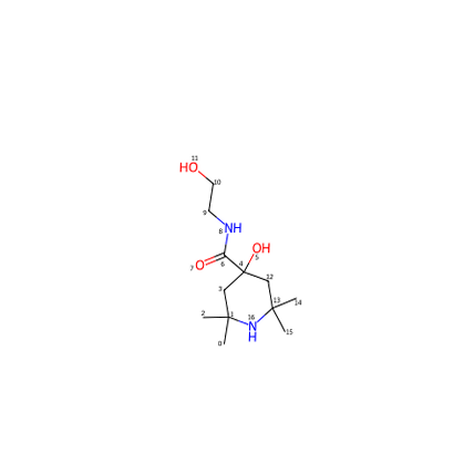 CC1(C)CC(O)(C(=O)NCCO)CC(C)(C)N1